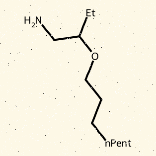 CCCCCCCCOC(CC)CN